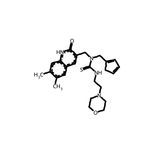 Cc1cc2cc(CN(CC3=CC=CC3)C(=S)NCCN3CCOCC3)c(=O)[nH]c2cc1C